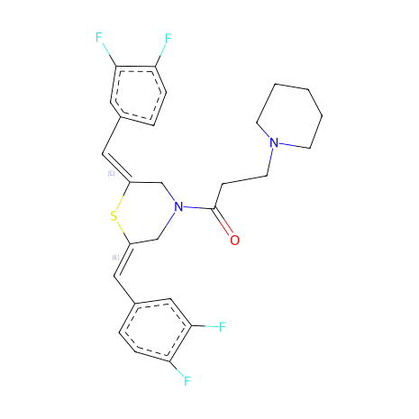 O=C(CCN1CCCCC1)N1C/C(=C\c2ccc(F)c(F)c2)S/C(=C/c2ccc(F)c(F)c2)C1